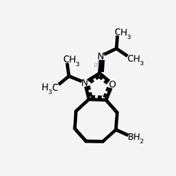 BC1CCCCc2c(o/c(=N\C(C)C)n2C(C)C)C1